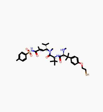 CN[C@H](C(=O)N[C@H](C(=O)N(C)[C@H](/C=C(\C)C(=O)NS(=O)(=O)c1ccc(C)cc1)C(C)C)C(C)(C)C)C(C)(C)c1ccc(OCCS)cc1